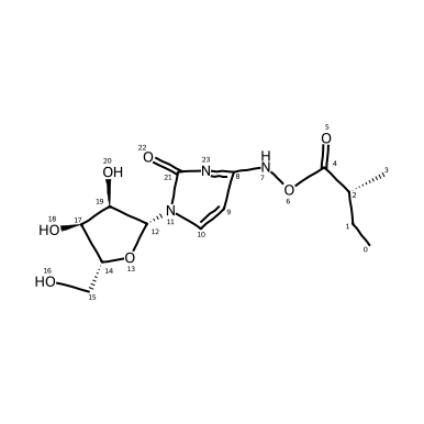 CC[C@@H](C)C(=O)ONc1ccn([C@@H]2O[C@H](CO)[C@@H](O)[C@H]2O)c(=O)n1